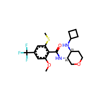 COc1cc(C(F)(F)F)cc(SC)c1C(=O)N[C@H]1COCC[C@@H]1NC1CCC1